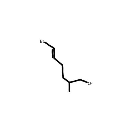 CCC=CCCC(C)C[O]